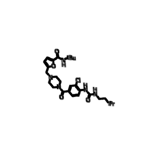 CC(C)CCNC(=O)Nc1ccc(C(=O)N2CCN(Cc3ccc(C(=O)NC(C)(C)C)o3)CC2)cc1Cl